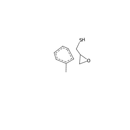 Cc1ccccc1.SCC1CO1